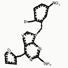 Nc1nc(-c2ccco2)c2ncn(Cc3cc([N+](=O)[O-])ccc3F)c2n1